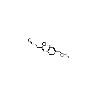 CCc1ccc(/C=C(\C)CCC=O)cc1